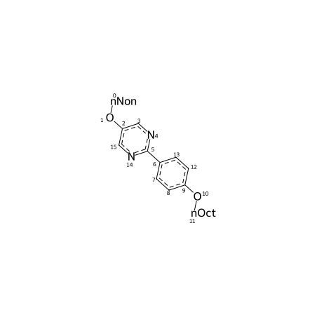 CCCCCCCCCOc1cnc(-c2ccc(OCCCCCCCC)cc2)nc1